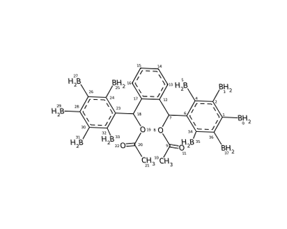 Bc1c(B)c(B)c(C(OC(C)=O)c2ccccc2C(OC(C)=O)c2c(B)c(B)c(B)c(B)c2B)c(B)c1B